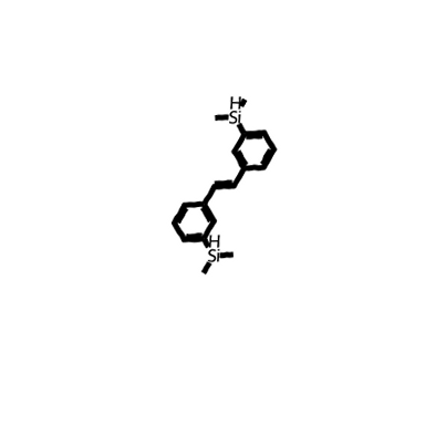 C[SiH](C)c1cccc(C=Cc2cccc([SiH](C)C)c2)c1